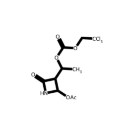 CC(=O)OC1NC(=O)C1C(C)OC(=O)OCC(Cl)(Cl)Cl